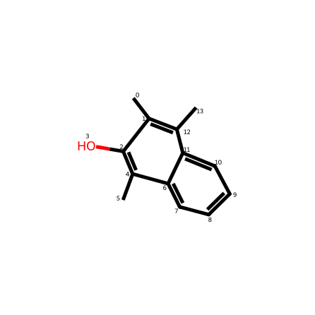 Cc1c(O)c(C)c2ccccc2c1C